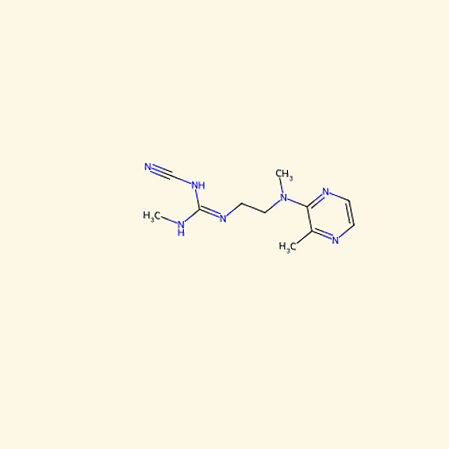 CNC(=NCCN(C)c1nccnc1C)NC#N